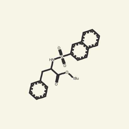 CC(C)(C)OC(=O)C(Cc1ccccc1)NS(=O)(=O)c1ccc2ccccc2c1